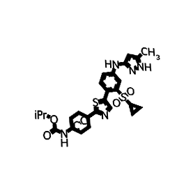 Cc1cc(Nc2ccc(-c3cnc(C45CCC(NC(=O)OC(C)C)(CC4)CC5)s3)c(S(=O)(=O)C3CC3)c2)n[nH]1